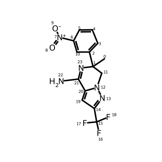 CC1(c2cccc([N+](=O)[O-])c2)Cn2nc(C(F)(F)F)cc2C(N)=N1